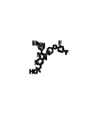 CCn1cc(-c2nc3cnc(CC(C)(C)O)cc3nc2N2CCC(Oc3ccc(F)cc3F)CC2)cn1